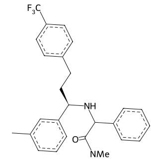 CNC(=O)C(N[C@H](CCc1ccc(C(F)(F)F)cc1)c1cccc(C)c1)c1ccccc1